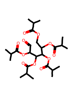 CC(C)C(=O)OCC(OC(=O)C(C)C)C(OC(=O)C(C)C)C(OC(=O)C(C)C)C(C=O)OC(=O)C(C)C